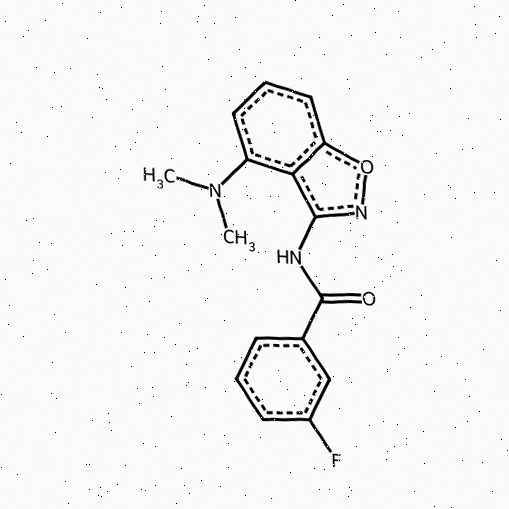 CN(C)c1cccc2onc(NC(=O)c3cccc(F)c3)c12